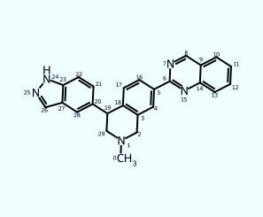 CN1Cc2cc(-c3ncc4ccccc4n3)ccc2C(c2ccc3[nH]ncc3c2)C1